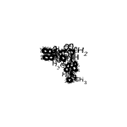 C=C(CCNC(=O)Oc1ccc2ccccc2c1-c1c(OC(=O)Nc2ccccc2SC)ccc2ccccc12)C(=O)OC(=O)C(C)=CCCNC(=O)Oc1ccc2ccccc2c1-c1c(OC(=O)Nc2cccc(SC)c2)ccc2ccccc12